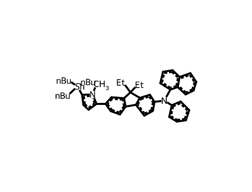 CCC[CH2][Sn]([CH2]CCC)([CH2]CCC)[c]1ccc(-c2ccc3c(c2)C(CC)(CC)c2cc(N(c4ccccc4)c4cccc5ccccc45)ccc2-3)n1C